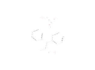 CC(O)C(c1ccccc1)c1ccccc1.O=[N+]([O-])O